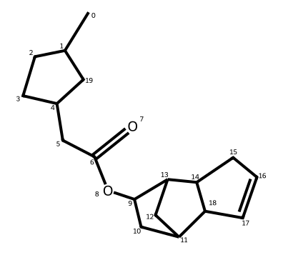 CC1CCC(CC(=O)OC2CC3CC2C2CC=CC32)C1